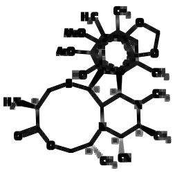 COc1c(C)cc(C)c([C@@H]2C3[C@H](c4cc5c(c(C)c4OC(C)=O)OCO5)SC[C@H](N)C(=O)OC[C@@H](C)N3[C@@H](C#N)[C@H](C)N2C)c1O